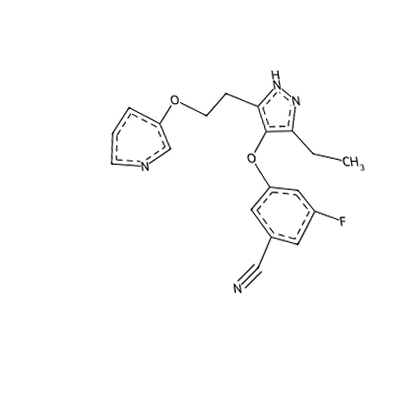 CCc1n[nH]c(CCOc2cccnc2)c1Oc1cc(F)cc(C#N)c1